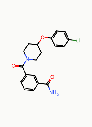 NC(=O)c1cccc(C(=O)N2CCC(Oc3ccc(Cl)cc3)CC2)c1